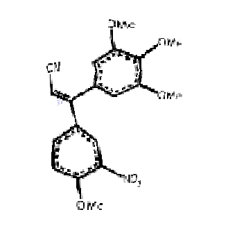 COc1ccc(/C(=C/C#N)c2cc(OC)c(OC)c(OC)c2)cc1[N+](=O)[O-]